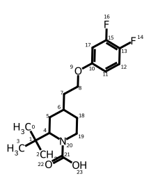 CC(C)(C)C1CC(CCOc2ccc(F)c(F)c2)CCN1C(=O)O